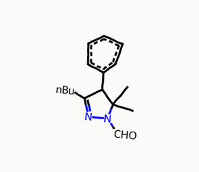 CCCCC1=NN(C=O)C(C)(C)C1c1ccccc1